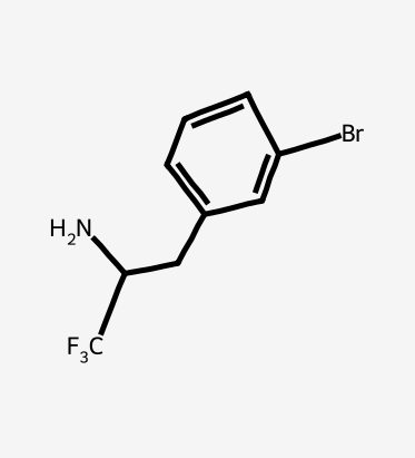 NC(Cc1cccc(Br)c1)C(F)(F)F